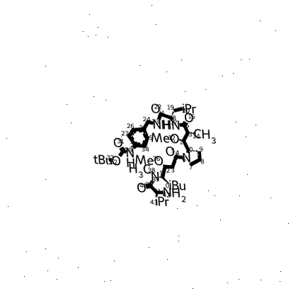 CC[C@H](C)[C@@H]([C@@H](CC(=O)N1CCC[C@H]1[C@H](OC)[C@@H](C)C(=O)N[C@@H](CC(C)C)C(=O)NCc1ccc(NC(=O)OC(C)(C)C)cc1)OC)N(C)C(=O)[C@@H](N)C(C)C